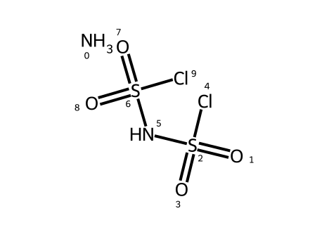 N.O=S(=O)(Cl)NS(=O)(=O)Cl